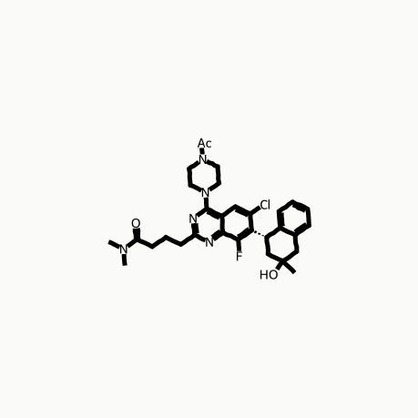 CC(=O)N1CCN(c2nc(CCCC(=O)N(C)C)nc3c(F)c([C@H]4CC(C)(O)Cc5ccccc54)c(Cl)cc23)CC1